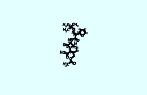 CC(=O)OCC1=C(C(=O)O)N2C(=O)[C@@H](NC(=O)C(=NOC(C)(C)C)c3ccco3)[C@H]2SC1